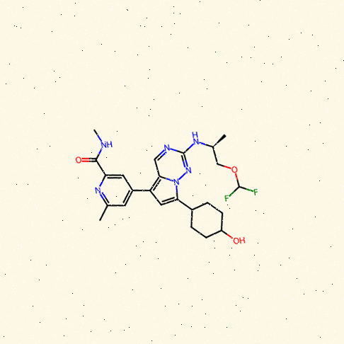 CNC(=O)c1cc(-c2cc(C3CCC(O)CC3)n3nc(N[C@@H](C)COC(F)F)ncc23)cc(C)n1